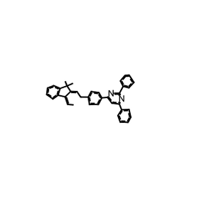 C/C=C1\C(=C/Cc2ccc(-c3cc(-c4ccccc4)nc(-c4ccccc4)n3)cc2)C(C)(C)c2ccccc21